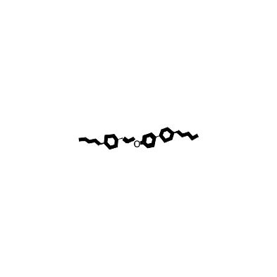 CCCCC[C@H]1CC[C@H](/C=C/COc2ccc([C@H]3CC[C@H](CCCCC)CC3)cc2)CC1